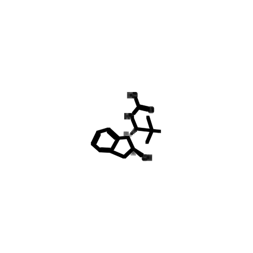 CC(C)(C)C(NC(=O)O)[C@H]1c2ccccc2C[C@@H]1O